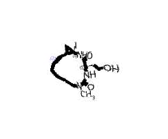 CN1CCCC/C=C\C2C[C@@]2(I)NC(=O)[C@H](CCO)NC1=O